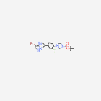 CC(C)(C)OC(=O)N1CCN(c2ccc(-c3cnc4c(Br)cnn4c3)cc2F)CC1